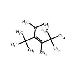 CN(C)C(=C([SiH3])C(C)(C)C)C(C)(C)C